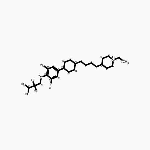 CC[SiH]1CCC(CCCCC2CCC(c3cc(F)c(OCC(F)(F)C(F)F)c(F)c3)CC2)CC1